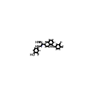 N=N/C(=C\Nc1ccc(O)c(F)c1)c1ccc2c(Nc3ccc(F)c(I)c3)cccc2n1